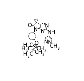 Cn1cc(Nc2ncc3c(n2)N([C@@H]2CCC[C@@H](O[Si](C)(C)C(C)(C)C)C2)C(=O)C32CC2)cn1